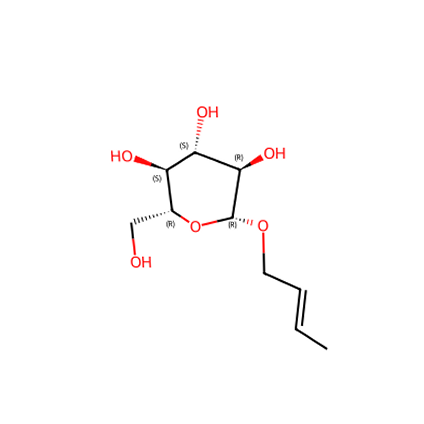 CC=CCO[C@@H]1O[C@H](CO)[C@@H](O)[C@H](O)[C@H]1O